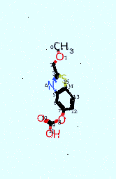 COCc1nc2cc(OC(=O)O)ccc2s1